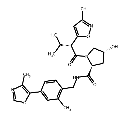 Cc1cc([C@H](C(=O)N2C[C@H](O)C[C@H]2C(=O)NCc2ccc(-c3ocnc3C)cc2C)C(C)C)on1